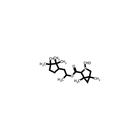 CC(CC1CCC(C)(C)C1(C)C)OC(=O)C1N(C=O)CC2(C)CC12C